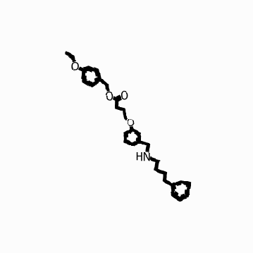 CCOc1ccc(COC(=O)CCCOc2cccc(CNCCCCc3ccccc3)c2)cc1